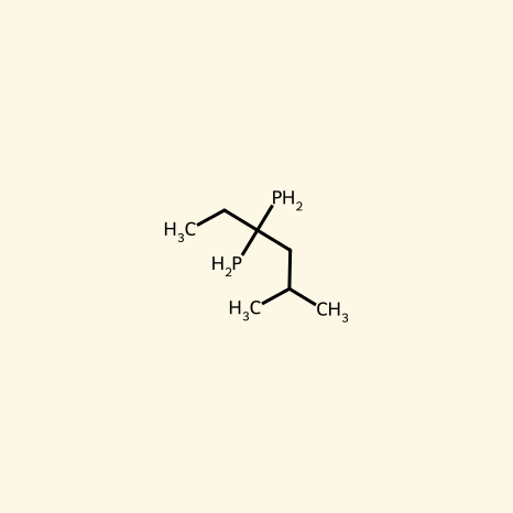 CCC(P)(P)CC(C)C